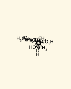 CC(O)CO.CCCCOC.Cc1c(C(=O)O)cccc1C(=O)O